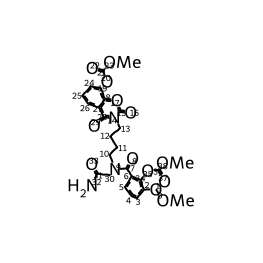 COOc1cccc(C(=O)N(CCCCn2c(=O)oc3c(OC(=O)OC)cccc3c2=O)CC(N)=O)c1OC(=O)OC